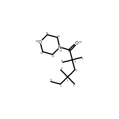 CCC(C)(C)CC(C)(C)C(=O)N1CCOCC1